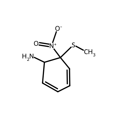 CSC1([N+](=O)[O-])C=CC=CC1N